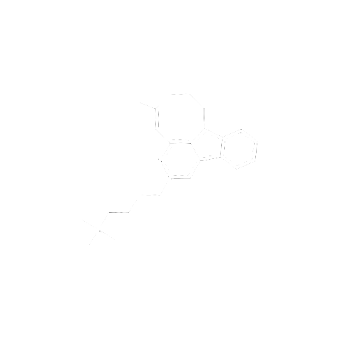 C[Si](C)(C)CCOCn1cc2c3ccccc3c3c-2c(n1)/C=C(/Br)OCC3